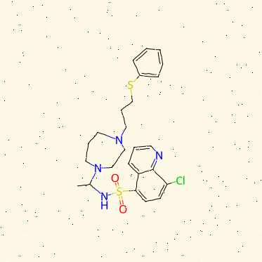 CC(NS(=O)(=O)c1ccc(Cl)c2ncccc12)N1CCCN(CCCSc2ccccc2)CC1